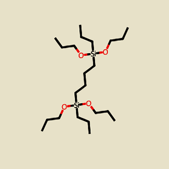 CCCO[Si](CCC)(CCCC[Si](CCC)(OCCC)OCCC)OCCC